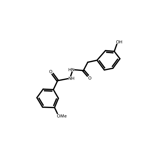 COc1cccc(C(=O)NNC(=O)Cc2cccc(O)c2)c1